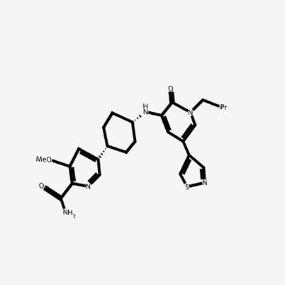 COc1cc([C@H]2CC[C@@H](Nc3cc(-c4cnsc4)cn(CC(C)C)c3=O)CC2)cnc1C(N)=O